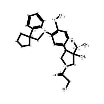 COc1ccc(C2CN(C(=O)CO)CC2(C)[C@@H](C)O)cc1OCC1(c2ccccc2)CCCC1